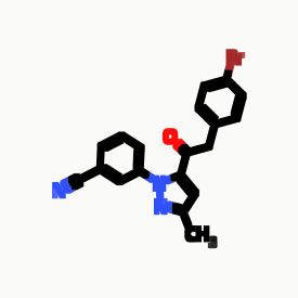 Cc1cc(C(=O)Cc2ccc(Br)cc2)n(-c2cccc(C#N)c2)n1